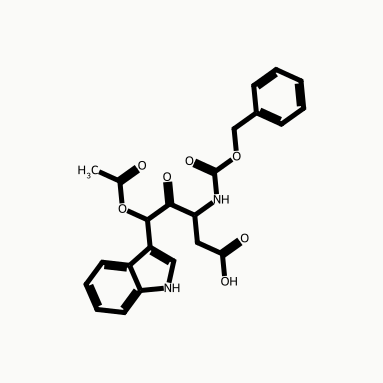 CC(=O)OC(C(=O)C(CC(=O)O)NC(=O)OCc1ccccc1)c1c[nH]c2ccccc12